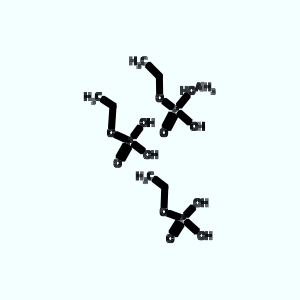 CCOP(=O)(O)O.CCOP(=O)(O)O.CCOP(=O)(O)O.[AlH3]